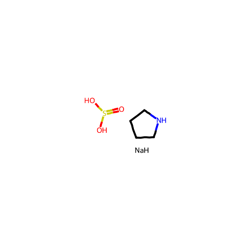 C1CCNC1.O=S(O)O.[NaH]